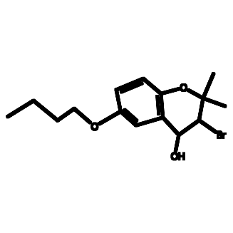 CCCCOc1ccc2c(c1)C(O)C(Br)C(C)(C)O2